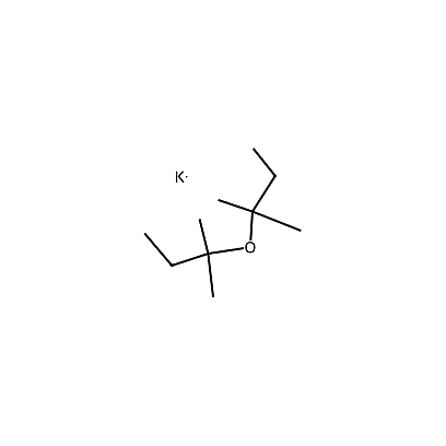 CCC(C)(C)OC(C)(C)CC.[K]